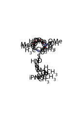 CO[C@H]1C[C@@H](C)C/C(C)=C/[C@@H](CCCSCCC(=O)NCCN2CCN(c3ccc(-c4cc(C(=O)NCc5c(C)cc(C)[nH]c5=O)c5c(C)cn(C(C)C)c5c4)cn3)CC2)C(=O)C[C@H](O)[C@@H](C)[C@@H](/C(C)=C/[C@@H]2CC[C@@H](O)[C@H](OC)C2)OC(=O)[C@@H]2CCCCN2C(=O)C(=O)[C@]2(O)O[C@H]1[C@@H](OC)C[C@H]2C